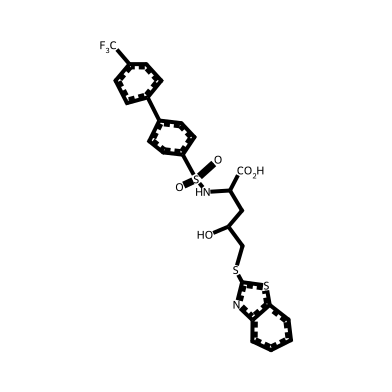 O=C(O)C(CC(O)CSc1nc2ccccc2s1)NS(=O)(=O)c1ccc(-c2ccc(C(F)(F)F)cc2)cc1